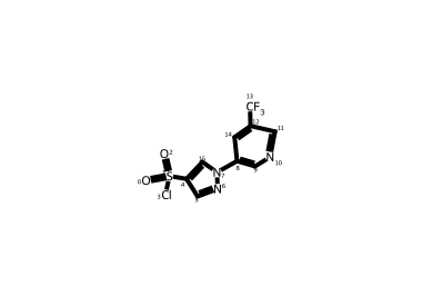 O=S(=O)(Cl)c1cnn(-c2cncc(C(F)(F)F)c2)c1